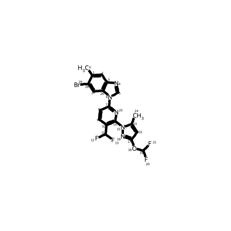 Cc1cc2ncn(-c3ccc(C(F)F)c(-n4nc(OC(F)F)cc4C)n3)c2cc1Br